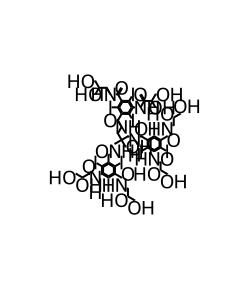 O=C(NCC(O)CO)c1c(I)c(NC(=O)C(O)CO)c(I)c(C(=O)NCC(CO)(CNC(=O)c2c(I)c(NC(=O)C(O)CO)c(I)c(C(=O)NCC(O)CO)c2I)CNC(=O)c2c(I)c(NC(=O)C(O)CO)c(I)c(C(=O)NCC(O)CO)c2I)c1I